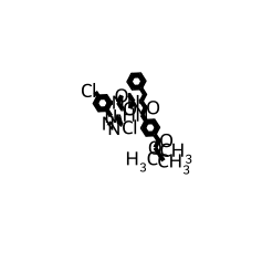 CC(C)(C)OC(=O)c1ccc(NC(=O)C(Cc2ccccc2)N2CON(c3cc(Cl)ccc3-n3cc(Cl)nn3)CO2)cc1